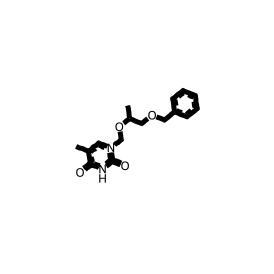 Cc1cn(COC(C)COCc2ccccc2)c(=O)[nH]c1=O